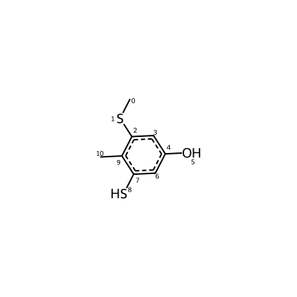 CSc1cc(O)cc(S)c1C